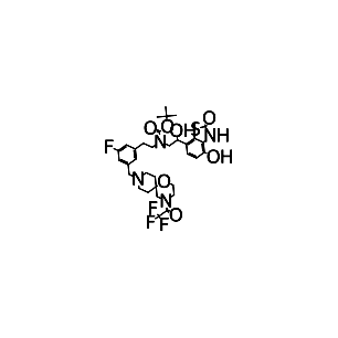 CC(C)(C)OC(=O)N(CCc1cc(F)cc(CN2CCC3(CC2)CN(C(=O)C(F)(F)F)CCO3)c1)CC(O)c1ccc(O)c2[nH]c(=O)sc12